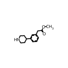 COC(=O)Cc1cccc(C2CCNCC2)c1